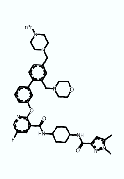 CCCN1CCN(Cc2ccc(-c3cccc(Oc4ncc(F)cc4C(=O)NC4CCC(NC(=O)c5cc(C)n(C)n5)CC4)c3)c(CN3CCOCC3)c2)CC1